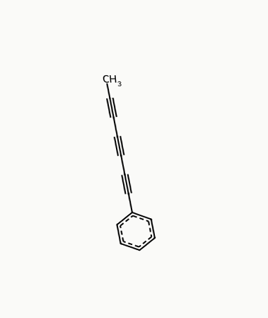 CC#CC#CC#Cc1ccccc1